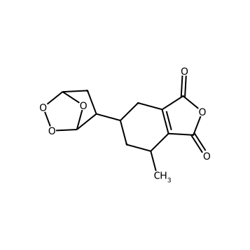 CC1CC(C2CC3OOC2O3)CC2=C1C(=O)OC2=O